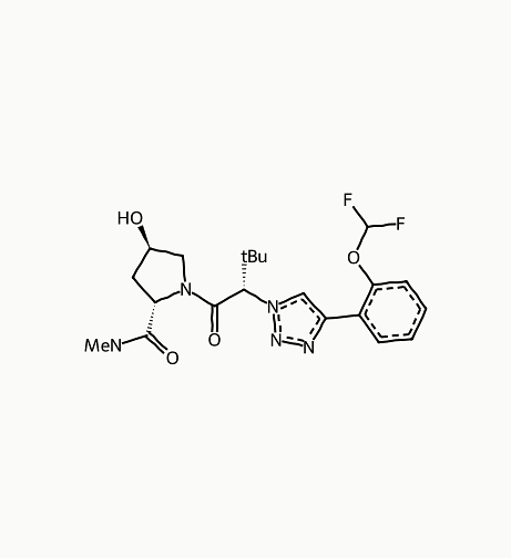 CNC(=O)[C@@H]1C[C@@H](O)CN1C(=O)[C@@H](n1cc(-c2ccccc2OC(F)F)nn1)C(C)(C)C